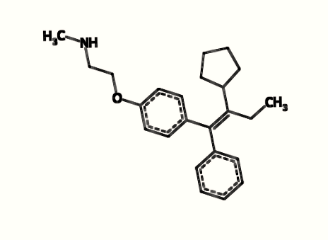 CC/C(=C(\c1ccccc1)c1ccc(OCCNC)cc1)C1CCCC1